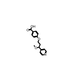 COC(CCOc1ccc(C(=O)O)cc1)c1ccncc1